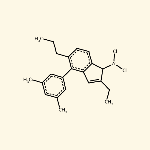 CCCc1ccc2c(c1-c1cc(C)cc(C)c1)C=C(CC)[CH]2[Zr]([Cl])[Cl]